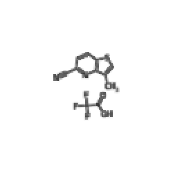 Cc1csc2ccc(C#N)nc12.O=C(O)C(F)(F)F